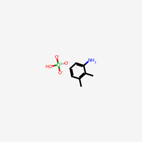 Cc1cccc(N)c1C.[O-][Cl+3]([O-])([O-])O